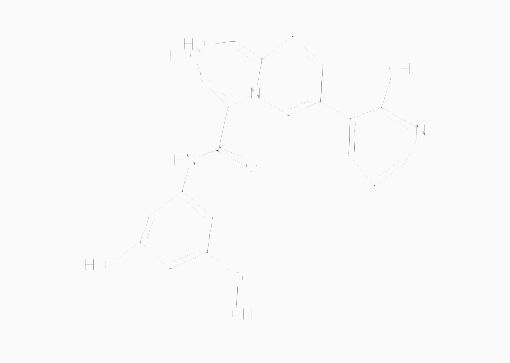 C/C=C1/C=CC(c2cccnc2C)=CN1/C(=C\C)C(=O)Nc1cc(C)cc(OC)c1